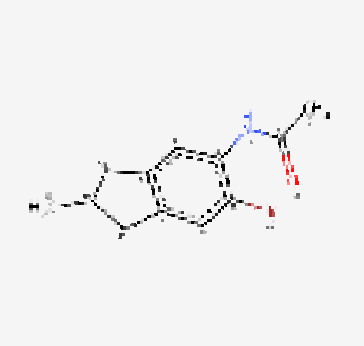 CC(=O)Nc1cc2c(cc1Br)CC(C)C2